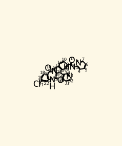 O=C(Nc1ccccn1)c1ccc(CN2C(=O)c3ccc(Cl)cc3NC(=O)[C@H]2Cc2cccnc2)cc1